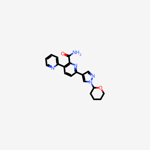 NC(=O)c1nc(-c2cnn(C3CCCCO3)c2)ccc1-c1ccccn1